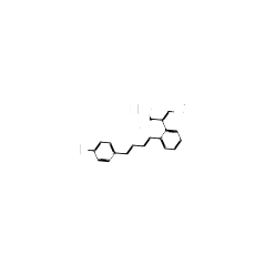 CO/C=C(/C(=O)O)c1ccccc1C=C/C=C/c1ccc(F)cc1